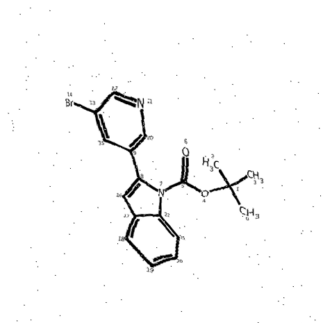 CC(C)(C)OC(=O)n1c(-c2cncc(Br)c2)cc2ccccc21